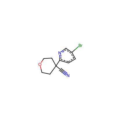 N#CC1(c2ccc(Br)cn2)CCOCC1